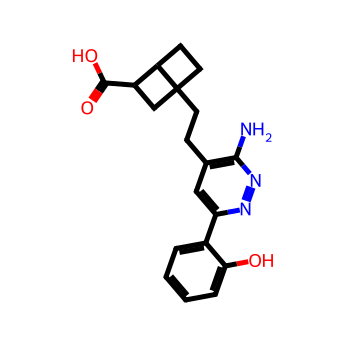 Nc1nnc(-c2ccccc2O)cc1CCC12CCC1C(C(=O)O)C2